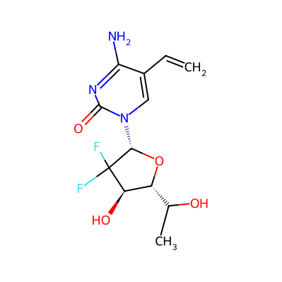 C=Cc1cn([C@@H]2O[C@H](C(C)O)[C@@H](O)C2(F)F)c(=O)nc1N